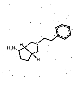 N[C@H]1CC[C@H]2CN(CCc3ccccc3)C[C@H]21